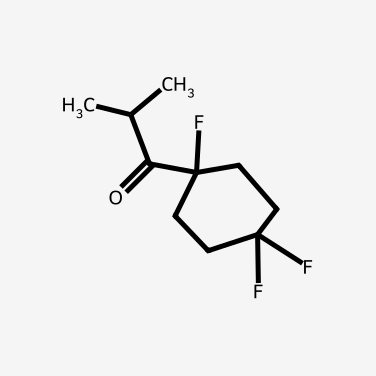 CC(C)C(=O)C1(F)CCC(F)(F)CC1